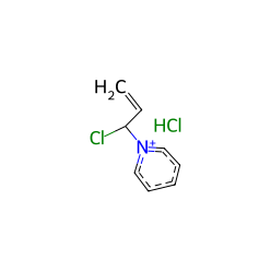 C=CC(Cl)[n+]1ccccc1.Cl